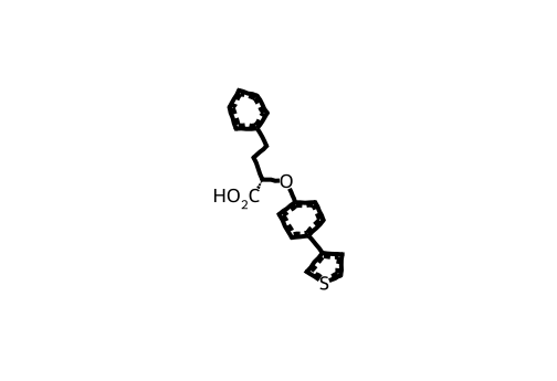 O=C(O)[C@H](CCc1ccccc1)Oc1ccc(-c2ccsc2)cc1